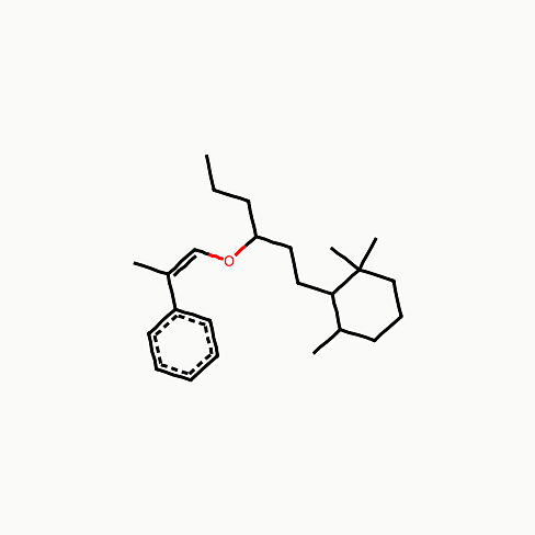 CCCC(CCC1C(C)CCCC1(C)C)OC=C(C)c1ccccc1